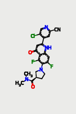 CN(C)C(=O)[C@@H]1CCN(c2c(F)cc3[nH]c(-c4cc(C#N)ncc4Cl)cc(=O)c3c2F)C1